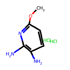 COc1ccc(N)c(N)n1.Cl.Cl